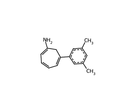 Cc1cc(C)cc(C2=CC=CC=C(N)C2)c1